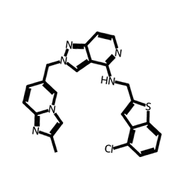 Cc1cn2cc(Cn3cc4c(NCc5cc6c(Cl)cccc6s5)nccc4n3)ccc2n1